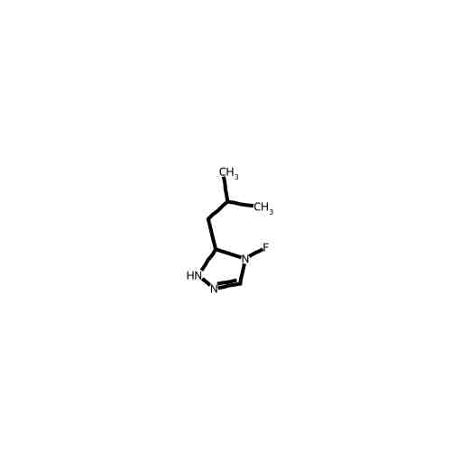 CC(C)CC1NN=CN1F